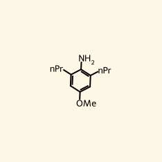 CCCc1cc(OC)cc(CCC)c1N